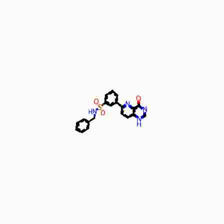 O=c1nc[nH]c2ccc(-c3cccc(S(=O)(=O)NCc4ccccc4)c3)nc12